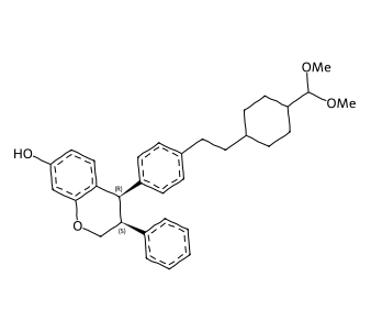 COC(OC)C1CCC(CCc2ccc([C@@H]3c4ccc(O)cc4OC[C@@H]3c3ccccc3)cc2)CC1